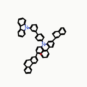 c1ccc(-c2ccc(-c3ccc4ccccc4c3)cc2N(c2ccc(-c3cccc(-n4c5ccccc5c5ccccc54)c3)cc2)c2ccc(-c3ccc4c(ccc5ccccc54)c3)cc2)cc1